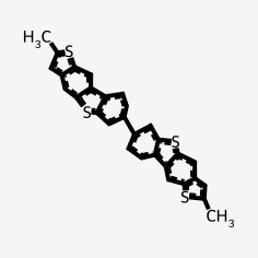 Cc1cc2cc3sc4cc(-c5ccc6c(c5)sc5cc7cc(C)sc7cc56)ccc4c3cc2s1